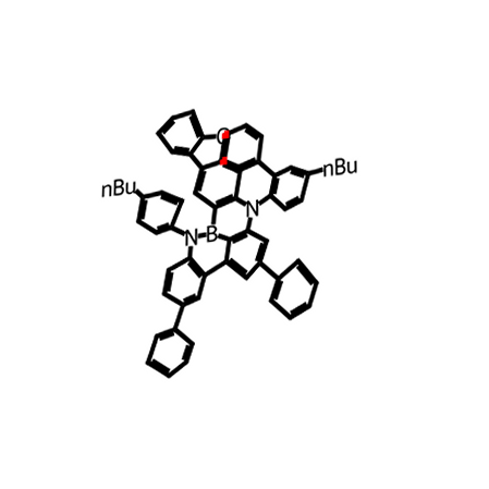 CCCCc1ccc(N2B3c4cc5c(cc4N(c4ccc(CCCC)cc4-c4ccccc4)c4cc(-c6ccccc6)cc(c43)-c3cc(-c4ccccc4)ccc32)oc2ccccc25)cc1